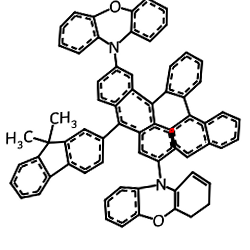 CC1(C)c2ccccc2-c2ccc(-c3c4cc(N5C6=C(CCC=C6)Oc6ccccc65)ccc4c(-c4ccccc4-c4cccc5ccccc45)c4cc(N5c6ccccc6Oc6ccccc65)ccc34)cc21